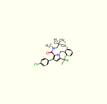 CN(CC(C)(C)C)C(=O)c1c(-c2ccc(Cl)cc2)cc(C(F)(F)F)n1Cc1ccccc1